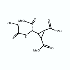 CCCCOC(=O)NC(C(=O)OC)C1C(C(=O)OC)C1C(=O)OC